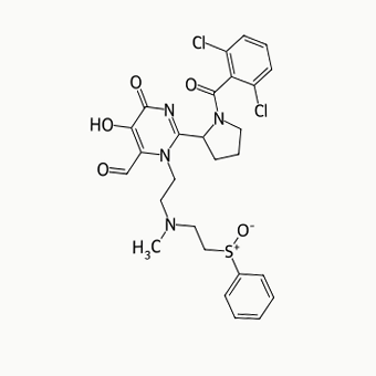 CN(CCn1c(C2CCCN2C(=O)c2c(Cl)cccc2Cl)nc(=O)c(O)c1C=O)CC[S+]([O-])c1ccccc1